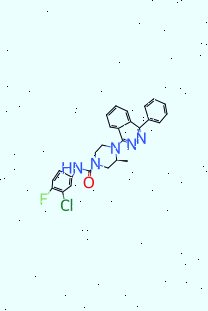 C[C@H]1CN(C(=O)Nc2ccc(F)c(Cl)c2)CCN1c1nnc(-c2ccccc2)c2ccccc12